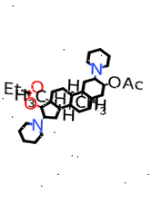 CCC(=O)O[C@@H]1[C@@H](N2CCCCC2)C[C@H]2[C@@H]3CC[C@H]4C[C@H](OC(C)=O)[C@@H](N5CCCCC5)C[C@]4(C)[C@H]3CC[C@]12C